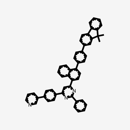 CC1(C)c2ccccc2-c2ccc(-c3ccc(-c4ccc(-c5cc(-c6ccc(-c7cccnc7)cc6)nc(-c6ccccc6)n5)c5ccccc45)cc3)cc21